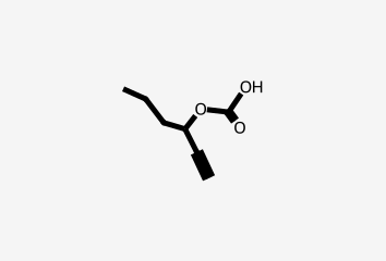 C#CC(CCC)OC(=O)O